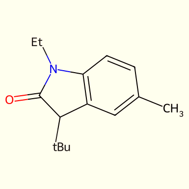 CCN1C(=O)C(C(C)(C)C)c2cc(C)ccc21